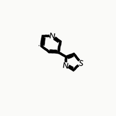 [c]1cncc(-c2cscn2)c1